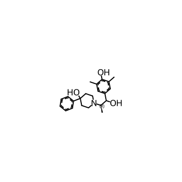 Cc1cc(C(O)[C@@H](C)N2CCC(O)(c3ccccc3)CC2)cc(C)c1O